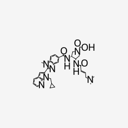 CN(C)C/C=C/C(=O)N[C@@H]1CN(C(=O)O)C[C@H]1NC(=O)c1ccc2c(c1)nc(-c1cc3cccnc3n1CC1CC1)n2C